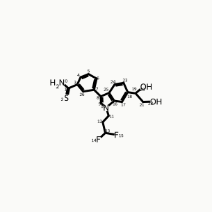 NC(=S)c1cccc(-c2cn(CCC(F)F)c3cc(C(O)CO)ccc23)c1